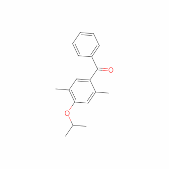 Cc1cc(C(=O)c2ccccc2)c(C)cc1OC(C)C